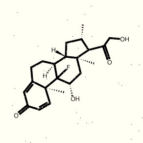 C[C@H]1C[C@H]2[C@@H]3CCC4=CC(=O)C=C[C@]4(C)C3(F)[C@@H](O)C[C@]2(C)[C]1C(=O)CO